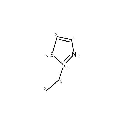 CCS1=NC=CS1